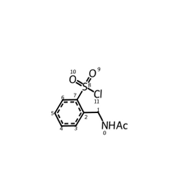 CC(=O)NCc1ccccc1S(=O)(=O)Cl